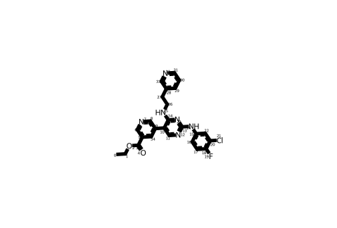 CCOC(=O)c1cncc(-c2cnc(Nc3ccc(F)c(Cl)c3)nc2NCCc2cccnc2)c1